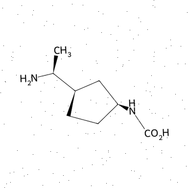 C[C@H](N)[C@@H]1CC[C@H](NC(=O)O)C1